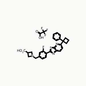 O=C(O)C(F)(F)F.O=C(O)C1CN(Cc2ccc(-c3nc4ccc(C5(c6ccccc6)CCC5)nc4s3)c(F)c2)C1